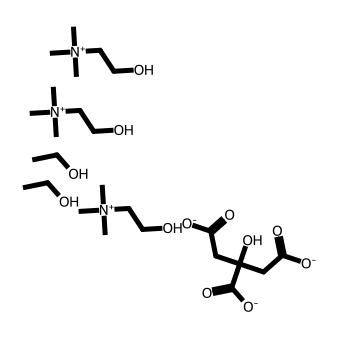 CCO.CCO.C[N+](C)(C)CCO.C[N+](C)(C)CCO.C[N+](C)(C)CCO.O=C([O-])CC(O)(CC(=O)[O-])C(=O)[O-]